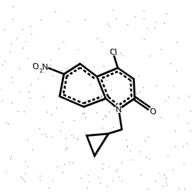 O=c1cc(Cl)c2cc([N+](=O)[O-])ccc2n1CC1CC1